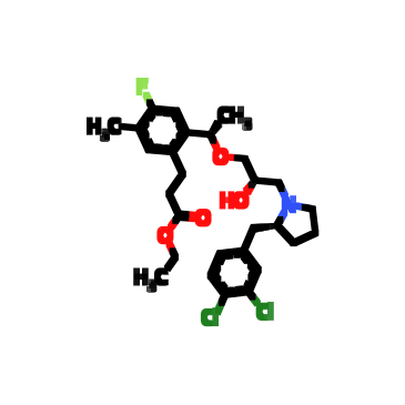 CCOC(=O)CCc1cc(C)c(F)cc1[C@@H](C)OC[C@H](O)CN1CCC[C@H]1Cc1ccc(Cl)c(Cl)c1